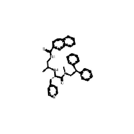 CC(CNC(=O)c1ccc2ccccc2c1)N[C@@H](Cc1ccncc1)C(=O)N(C)CC(c1ccccc1)c1ccccc1